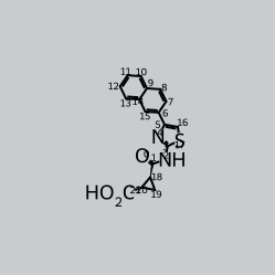 O=C(Nc1nc(-c2ccc3ccccc3c2)cs1)[C@H]1C[C@H]1C(=O)O